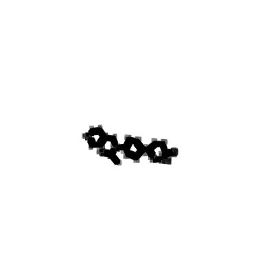 CC(=O)N(Cc1ccncc1)c1ccc(C2=NNC(=O)CC2)cc1